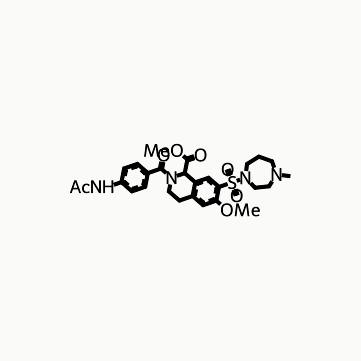 COC(=O)C1c2cc(S(=O)(=O)N3CCCN(C)CC3)c(OC)cc2CCN1C(=O)c1ccc(NC(C)=O)cc1